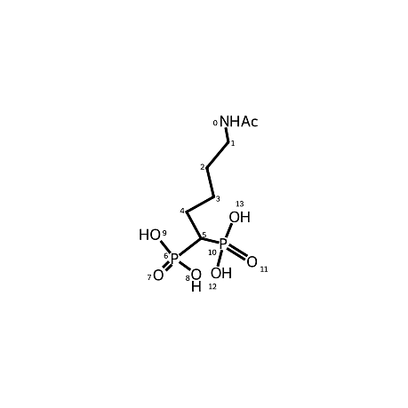 CC(=O)NCCCCC(P(=O)(O)O)P(=O)(O)O